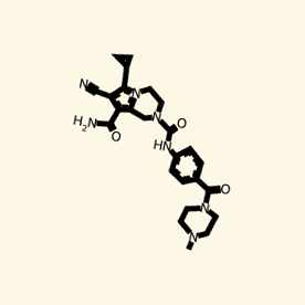 CN1CCN(C(=O)c2ccc(NC(=O)N3CCn4c(c(C(N)=O)c(C#N)c4C4CC4)C3)cc2)CC1